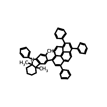 Cc1cc2c(cc1-c1cc(-c3ccccc3)c3ccc4c(-c5ccccc5)cc(-c5ccccc5)c5ccc1c3c45)C1(C)CCCCC1(C)N2c1ccccc1